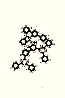 O=C1c2cccc(-n3c4ccc(-c5nc(-c6ccccc6)nc(-c6ccccc6)n5)cc4c4cc(-c5nc(-c6ccccc6)nc(-c6ccccc6)n5)ccc43)c2C(O)N1c1cc(-c2ccccc2)ccc1-c1ccccc1